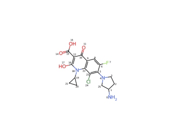 NC1CCN(c2c(F)cc3c(=O)c(C(=O)O)c(O)n(C4CC4)c3c2Cl)C1